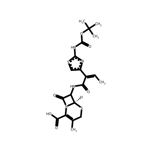 C/C=C(\C(=O)NC1C(=O)N2C(C(=O)O)=C(C)CS[C@H]12)c1csc(NC(=O)OC(C)(C)C)n1